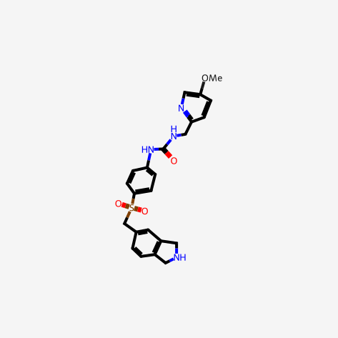 COc1ccc(CNC(=O)Nc2ccc(S(=O)(=O)Cc3ccc4c(c3)CNC4)cc2)nc1